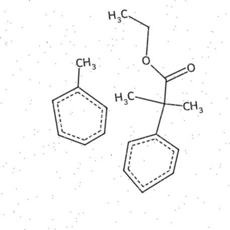 CCOC(=O)C(C)(C)c1ccccc1.Cc1ccccc1